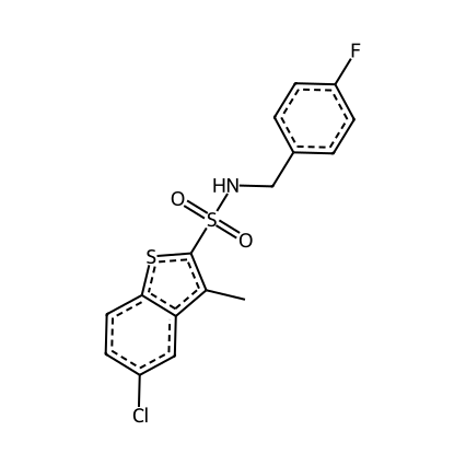 Cc1c(S(=O)(=O)NCc2ccc(F)cc2)sc2ccc(Cl)cc12